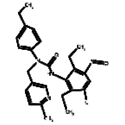 CCc1ccc(N(Cc2ccc(C)nc2)C(=O)Nc2c(CC)c(Cl)cc(N=O)c2CC)cc1